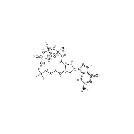 CC(C)(C)SSCO[C@@H]1CC(n2cnc3c(=O)[nH]c(N)nc32)OC1COP(=O)(O)OP(=O)(O)OP(=O)(O)O